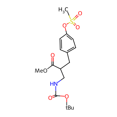 COC(=O)C(CNC(=O)OC(C)(C)C)Cc1ccc(OS(C)(=O)=O)cc1